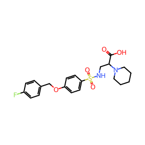 O=C(O)C(CNS(=O)(=O)c1ccc(OCc2ccc(F)cc2)cc1)N1CCCCC1